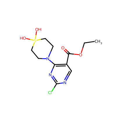 CCOC(=O)c1cnc(Cl)nc1N1CCS(O)(O)CC1